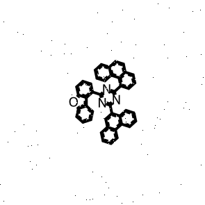 c1ccc2c(c1)cc(-c1nc(-c3cccc4ccc5ccccc5c34)nc(-c3cccc4oc5ccccc5c34)n1)c1ccccc12